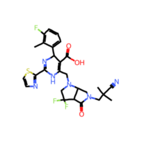 Cc1c(F)cccc1C1N=C(c2nccs2)NC(CN2CC(F)(F)C3C(=O)N(CC(C)(C)C#N)CC32)=C1C(=O)O